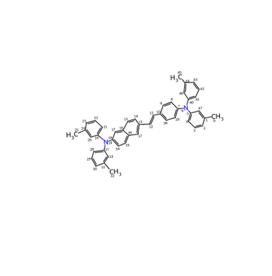 Cc1cccc(N(c2ccc(/C=C/c3ccc4cc(N(c5cccc(C)c5)c5cccc(C)c5)ccc4c3)cc2)c2cccc(C)c2)c1